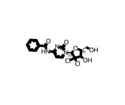 O=C(Nc1ccn([C@H]2O[C@H](CO)C(O)C2(Cl)Cl)c(=O)n1)c1ccccc1